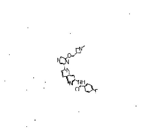 CN1CC(COc2cncc(-c3ccc4cnc(NC(=O)c5ccc(F)cc5)cc4n3)n2)C1